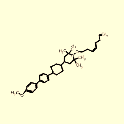 C=CCC/C=C\CCON1C(C)(C)CC(C2CCC(c3ccc(-c4ccc(OC)cc4)cc3)CC2)CC1(C)C